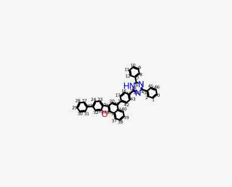 c1ccc(C2=NC(c3ccccc3)NC(c3ccc(-c4cc5c6ccc(-c7ccccc7)cc6oc5c5ccccc45)cc3)=N2)cc1